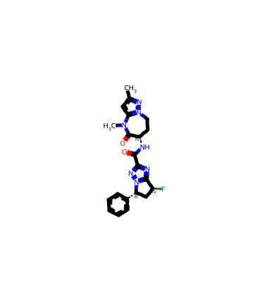 Cc1cc2n(n1)CC[C@H](NC(=O)c1nc3n(n1)[C@@H](c1ccccc1)C[C@@H]3F)C(=O)N2C